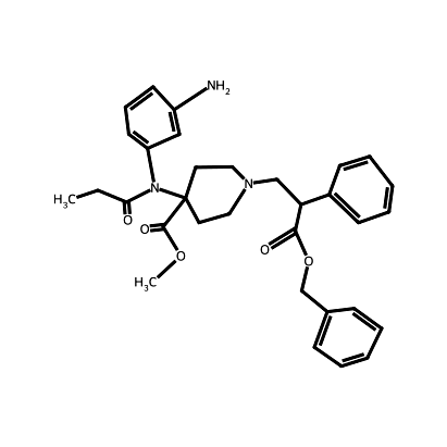 CCC(=O)N(c1cccc(N)c1)C1(C(=O)OC)CCN(CC(C(=O)OCc2ccccc2)c2ccccc2)CC1